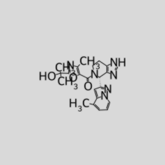 Cc1nc(C(C)(C)O)oc1C(=O)N1CCc2[nH]cnc2[C@@H]1c1cc2c(C)cccn2n1